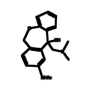 CC(=O)Nc1ccc2c(c1)C(O)(CN(C)C)c1ccccc1OC2